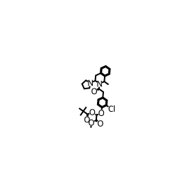 COC(=O)C(OC(=O)C(C)(C)C)Oc1ccc(CC(=O)N2C(C)c3ccccc3CC2N2CCCC2)cc1Cl